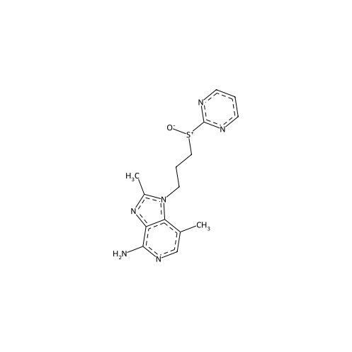 Cc1cnc(N)c2nc(C)n(CCC[S+]([O-])c3ncccn3)c12